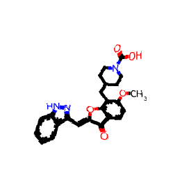 COc1ccc2c(c1CC1CCN(C(=O)O)CC1)OC(=Cc1n[nH]c3ccccc13)C2=O